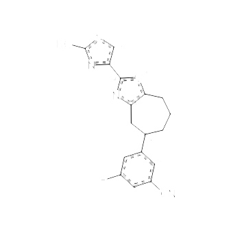 Cc1nc(-c2nc3c(o2)CCCC(c2cc(F)cc(C#N)c2)C3)cs1